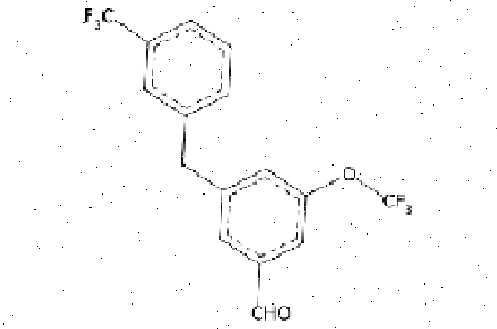 O=Cc1cc(Cc2cccc(C(F)(F)F)c2)cc(OC(F)(F)F)c1